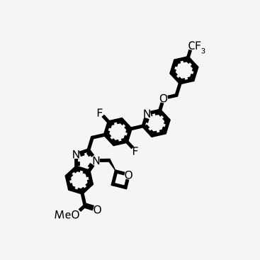 COC(=O)c1ccc2nc(Cc3cc(F)c(-c4cccc(OCc5ccc(C(F)(F)F)cc5)n4)cc3F)n(C[C@@H]3CCO3)c2c1